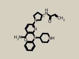 C=CC(=O)N[C@H]1CCN(c2ccc(C(N)=O)c(N(c3ccccc3)C3CCNCC3)n2)C1